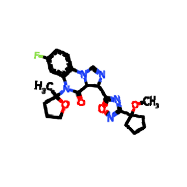 COC1(c2noc(C3N=CN4c5ccc(F)cc5N(C5(C)CCCO5)C(=O)C34)n2)CCCC1